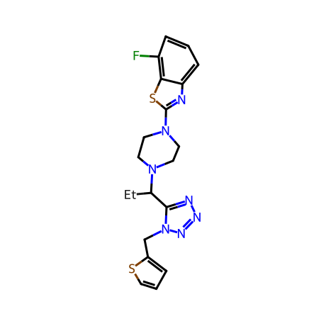 CCC(c1nnnn1Cc1cccs1)N1CCN(c2nc3cccc(F)c3s2)CC1